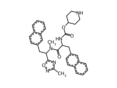 Cc1noc(C(Cc2ccc3ccccc3c2)N(C)C(=O)C(Cc2ccc3ccccc3c2)NC(=O)OC2CCNCC2)n1